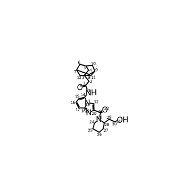 O=C(CC12CC3CC(CC(C3)C1)C2)Nc1cccc2nc(C(=O)N3CCCCC3CCO)cn12